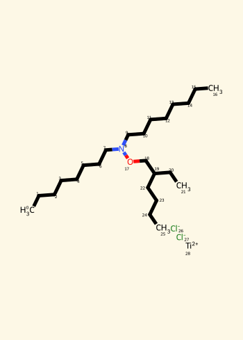 CCCCCCCCN(CCCCCCCC)OCC(CC)CCCC.[Cl-].[Cl-].[Ti+2]